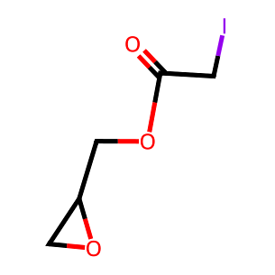 O=C(CI)OCC1CO1